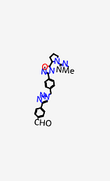 C/N=C(\NC)N1CCCC1c1nc(-c2ccc(Cn3cc(-c4ccc(C=O)cc4)nn3)cc2)no1